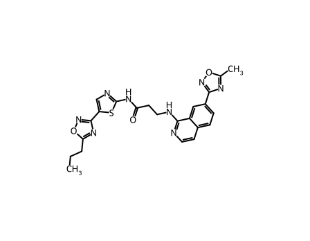 CCCc1nc(-c2cnc(NC(=O)CCNc3nccc4ccc(-c5noc(C)n5)cc34)s2)no1